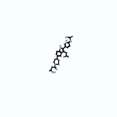 CC(=N)/N=c1/ccc(-c2[nH]c3ccc(C4CCN(C(=O)CC(C)O)CC4)cc3c2CC(F)F)c[nH]1